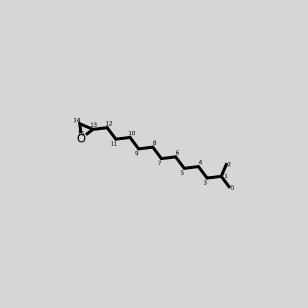 CC(C)CCCCCCCCCCC1CO1